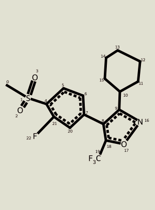 CS(=O)(=O)c1ccc(-c2c(C3CCCCC3)noc2C(F)(F)F)cc1F